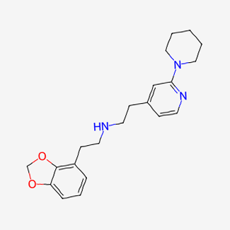 c1cc(CCNCCc2ccnc(N3CCCCC3)c2)c2c(c1)OCO2